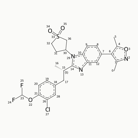 Cc1noc(C)c1-c1ccc2c(c1)nc([C@@H](C)Cc1ccc(OC(F)F)c(Cl)c1)n2C1CCS(=O)(=O)C1